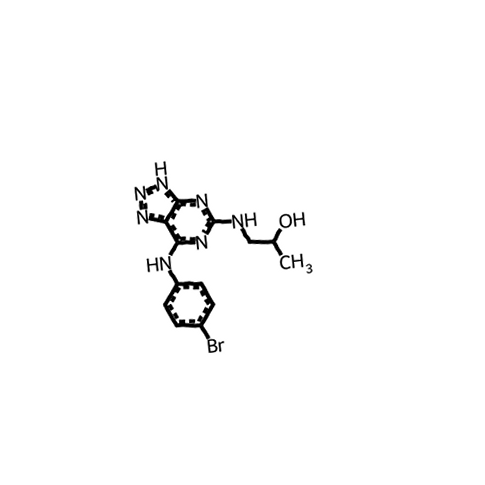 CC(O)CNc1nc(Nc2ccc(Br)cc2)c2nn[nH]c2n1